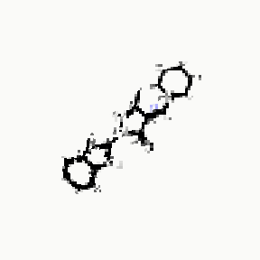 CC1=NN(c2nc3ccccc3s2)C(=O)/C1=C/N1CCCCC1